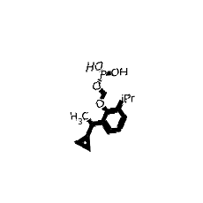 CC(C)c1cccc(C(C)C2CC2)c1OCOP(O)O